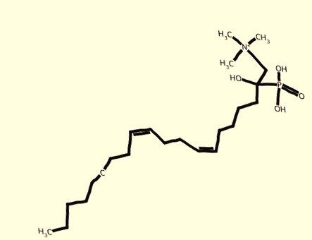 CCCCCCCC/C=C\CC/C=C\CCCCC(O)(C[N+](C)(C)C)P(=O)(O)O